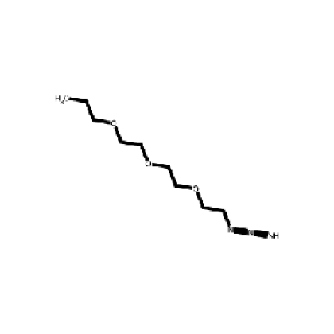 CCCOCCOCCOCCN=[N+]=N